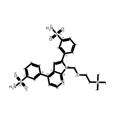 C[Si](C)(C)CCOCn1c(-c2cccc(S(N)(=O)=O)c2)cc2c(-c3cccc(S(N)(=O)=O)c3)ccnc21